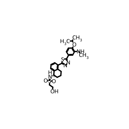 CNc1cc(-c2nnc(-c3cccc4c3CCC[C@@H]4NS(=O)(=O)CCO)s2)ccc1OC(C)C